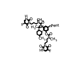 C=C(C)[C@@H]1CCC(C)=C[C@H]1c1c(OC(=O)N(C)CCCn2c(=O)[nH]cc(F)c2=O)cc(CCCCC)cc1OC(=O)N(C)CCCn1c(=O)[nH]cc(F)c1=O